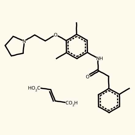 Cc1ccccc1CC(=O)Nc1cc(C)c(OCCN2CCCC2)c(C)c1.O=C(O)C=CC(=O)O